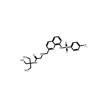 O=C(CNCc1ccc2cccc(NS(=O)(=O)c3ccc(C(F)(F)F)cc3)c2n1)NC(CO)(CO)CO